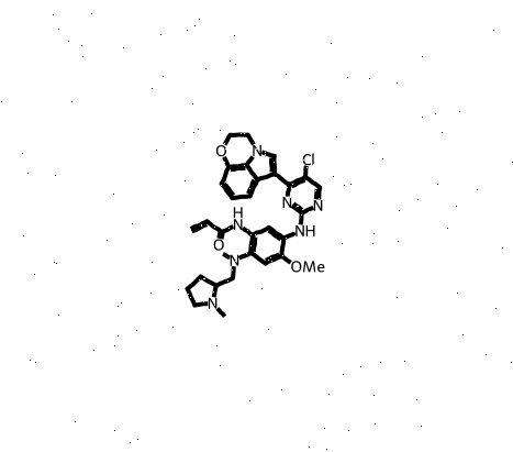 C=CC(=O)Nc1cc(Nc2ncc(Cl)c(-c3cn4c5c(cccc35)OCC4)n2)c(OC)cc1N(C)CC1CCCN1C